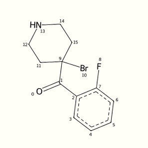 O=C(c1ccccc1F)C1(Br)CCNCC1